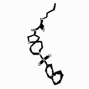 CCCCOC(=O)NC1COC2(CCN(S(=O)(=O)c3ccc4ccccc4c3)CC2)C1